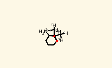 [2H]C([2H])([2H])C1(C([2H])([2H])[2H])CC2CCC1(N)CC2